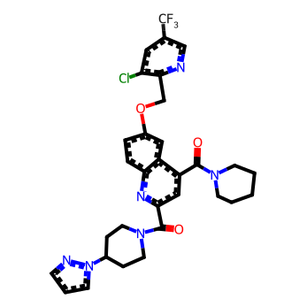 O=C(c1cc(C(=O)N2CCCCC2)c2cc(OCc3ncc(C(F)(F)F)cc3Cl)ccc2n1)N1CCC(n2cccn2)CC1